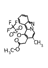 COC(=O)Cc1c(C)cn2nc3ccccc3c2c1OS(=O)(=O)C(F)(F)F